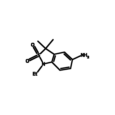 CCN1c2ccc(N)cc2C(C)(C)S1(=O)=O